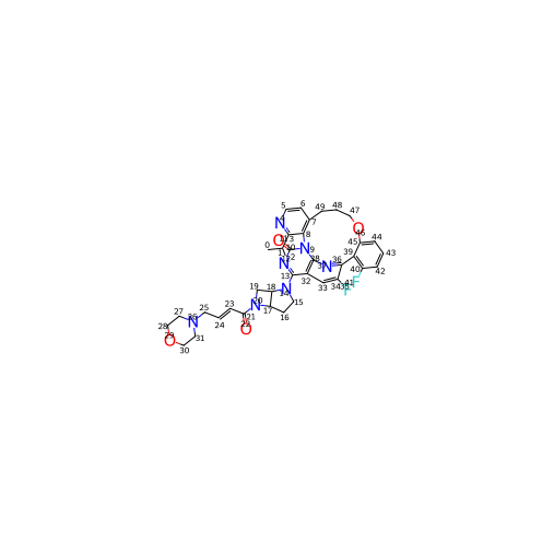 CC(C)c1nccc2c1-n1c(=O)nc(N3CCC4C3CN4C(=O)/C=C/CN3CCOCC3)c3cc(F)c(nc31)-c1c(F)cccc1OCCC2